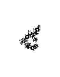 COC(=O)[C@H](CNC(=O)C(=O)Nc1cccc(OC(F)(F)F)c1)NC(=O)c1ccc(Nc2nc(NC3(c4ccc(Cl)cc4)CC3)nc(OCC(F)(F)F)n2)cc1